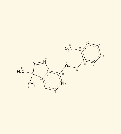 C[N+]1(C)C=Nc2c1ccnc2OCc1ccccc1[N+](=O)[O-]